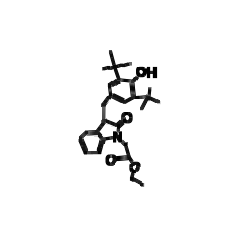 CCOC(=O)CN1C(=O)C(Cc2cc(C(C)(C)C)c(O)c(C(C)(C)C)c2)c2ccccc21